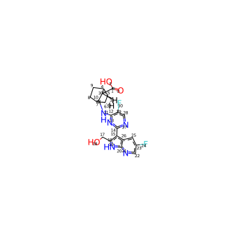 O=C(O)[C@H]1C2CCC(CC2)[C@@H]1Nc1nc(-c2c(CO)[nH]c3ncc(F)cc23)ncc1F